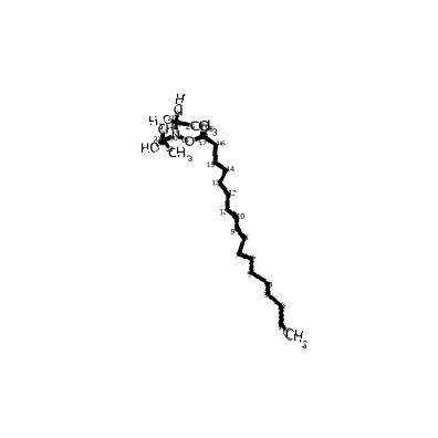 CCCCCCCCCCCCCCCCCC(=O)ON(C(C)(C)O)C(C)(C)O